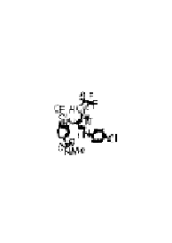 CNS(=O)(=O)c1ccc(SCC(F)(F)F)c(Nc2cc(Nc3ccc(Cl)cc3)ncn2)c1.O=C(O)C(F)(F)F